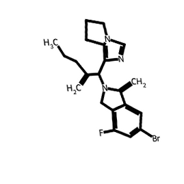 C=C(CCC)C(c1ncn2c1CCC2)N1Cc2c(F)cc(Br)cc2C1=C